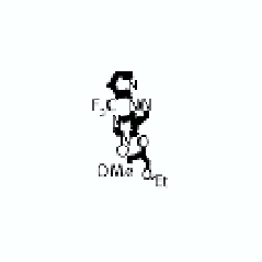 CCOCC(Oc1ncnc2c1cnn2-c1ncccc1C(F)(F)F)C(=O)OC